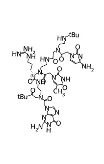 Cc1cn(CC(=O)N(CCNC(=O)CN(CCNC(C)(C)C)C(=O)Cn2ccc(N)nc2=O)[C@@H](CCCNC(=N)N)C(=O)NCCN(CC(=O)C(C)(C)C)C(=O)Cn2cnc3c(=O)[nH]c(N)nc32)c(=O)[nH]c1=O